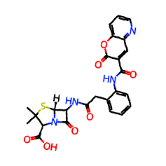 CC1(C)S[C@@H]2C(NC(=O)Cc3ccccc3NC(=O)c3cc4ncccc4oc3=O)C(=O)N2[C@H]1C(=O)O